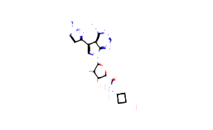 Cn1ccc(-c2cn([C@@H]3O[C@H](C(=O)N[C@H]4C[C@@H](O)C4)[C@@H](O)[C@H]3O)c3ncnc(N)c23)n1